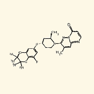 [2H]C1([2H])Oc2cc(O[C@H]3CCN(c4nn5c(=O)ccnc5cc4C)[C@H](C)C3)cc(F)c2OC1([2H])[2H]